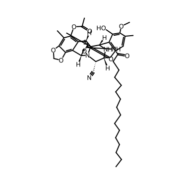 CCCCCCCCCCCCCCCC(=O)NC1CS[C@@H]2c3c(OC(C)=O)c(C)c4c(c3[C@H](COC1=O)N1C2[C@H]2N[C@H](Cc3cc(C)c(OC)c(O)c32)[C@@H]1C#N)OCO4